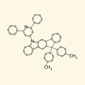 Cc1ccc(C2(c3ccc(C)cc3)c3ccccc3-c3cc4c(cc32)c2ccccc2n4-c2cc(-c3ccccc3)nc(-c3ccccc3)c2)cc1